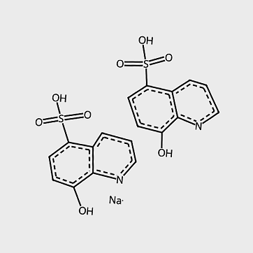 O=S(=O)(O)c1ccc(O)c2ncccc12.O=S(=O)(O)c1ccc(O)c2ncccc12.[Na]